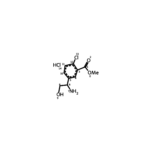 COC(=O)c1cc(C(N)CO)ccc1Cl.Cl